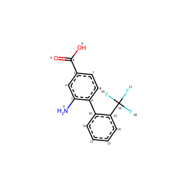 Nc1cc(C(=O)O)ccc1-c1ccccc1C(F)(F)F